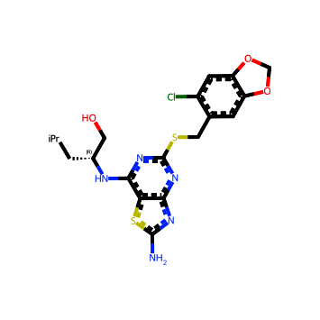 CC(C)C[C@H](CO)Nc1nc(SCc2cc3c(cc2Cl)OCO3)nc2nc(N)sc12